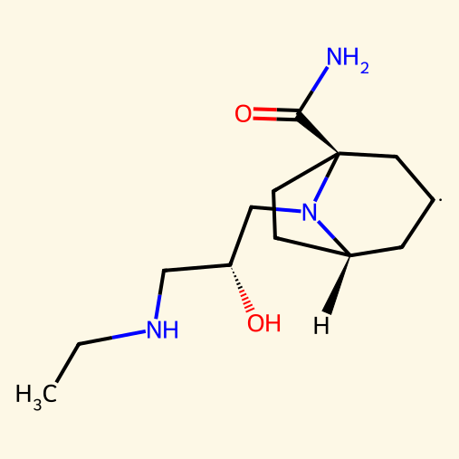 CCNC[C@@H](O)CN1[C@@H]2C[CH]C[C@@]1(C(N)=O)CC2